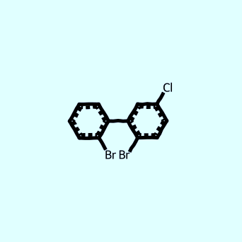 Clc1ccc(Br)c(-c2ccccc2Br)c1